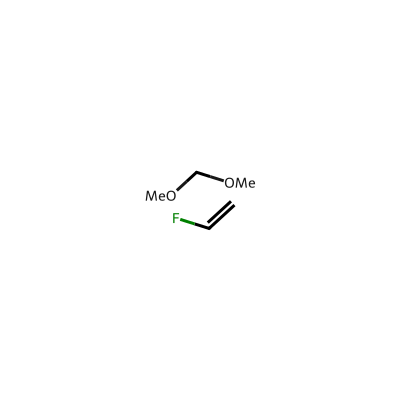 C=CF.COCOC